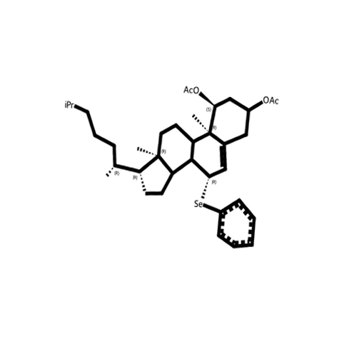 CC(=O)OC1CC2=C[C@H]([Se]c3ccccc3)C3C4CC[C@H]([C@H](C)CCCC(C)C)[C@@]4(C)CCC3[C@@]2(C)[C@@H](OC(C)=O)C1